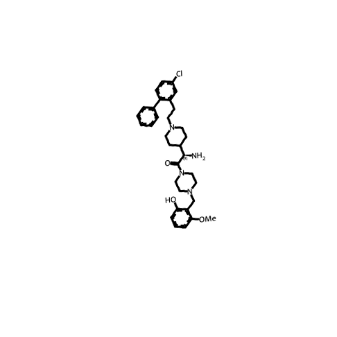 COc1cccc(O)c1CN1CCN(C(=O)[C@H](N)C2CCN(CCc3cc(Cl)ccc3-c3ccccc3)CC2)CC1